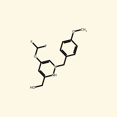 COc1ccc(CN2C=C(OC(F)F)C=C(CO)N2)cc1